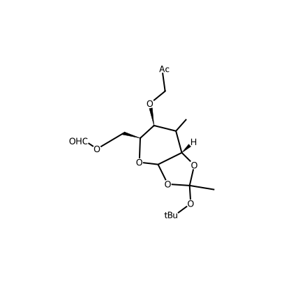 CC(=O)CO[C@H]1C(C)[C@@H]2OC(C)(OC(C)(C)C)OC2O[C@H]1COC=O